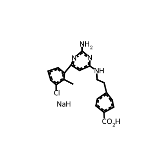 Cc1c(Cl)cccc1-c1cc(NCCc2ccc(C(=O)O)cc2)nc(N)n1.[NaH]